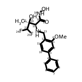 COc1cc(-c2ccccc2)ccc1CN[C@H](C(=O)NO)[C@](C)(O)C(F)F